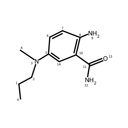 CCCN(C)c1ccc(N)c(C(N)=O)c1